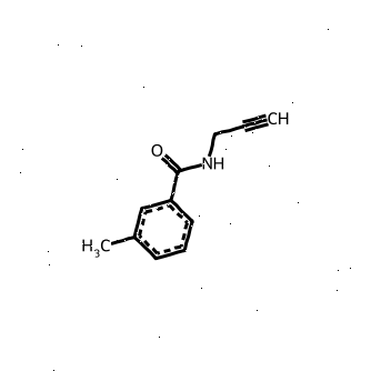 C#CCNC(=O)c1cccc(C)c1